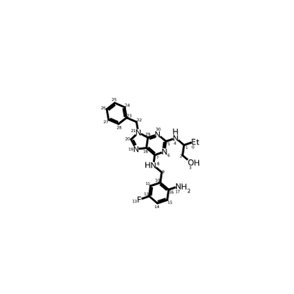 CCC(CO)Nc1nc(NCc2cc(F)ccc2N)c2ncn(Cc3ccccc3)c2n1